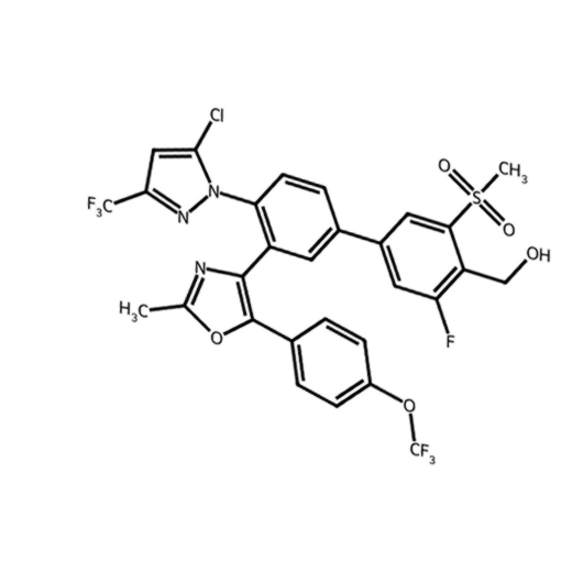 Cc1nc(-c2cc(-c3cc(F)c(CO)c(S(C)(=O)=O)c3)ccc2-n2nc(C(F)(F)F)cc2Cl)c(-c2ccc(OC(F)(F)F)cc2)o1